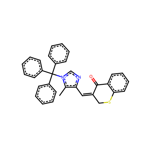 Cc1c(/C=C2/CSc3ccccc3C2=O)ncn1C(c1ccccc1)(c1ccccc1)c1ccccc1